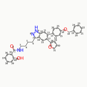 O=C(NCCCCc1n[nH]c2cc(-c3ccc(OCc4ccccc4)cc3)c(-c3ccco3)cc12)c1ccccc1O